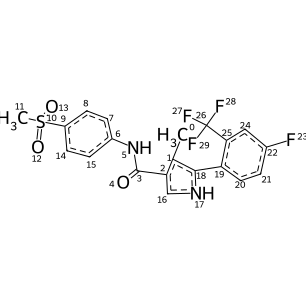 Cc1c(C(=O)Nc2ccc(S(C)(=O)=O)cc2)c[nH]c1-c1ccc(F)cc1C(F)(F)F